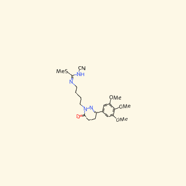 COc1cc(C2=NN(CCCCN=C(NC#N)SC)C(=O)CC2)cc(OC)c1OC